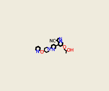 CC(O)COc1cc(-c2ccc(N3CCC(Oc4ccccn4)CC3)nc2)c2c(C#N)cnn2c1